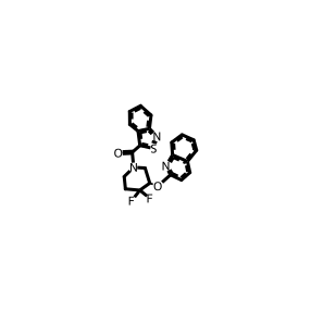 O=C(c1snc2ccccc12)N1CCC(F)(F)[C@@H](Oc2ccc3ccccc3n2)C1